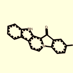 O=C1c2cc(Cl)ccc2-[n+]2ccc3c([nH]c4ccccc43)c21